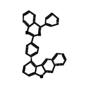 c1ccc(-c2nc(-c3ccc(-c4cccc5oc6cc7ccccc7cc6c45)cc3)nc3ccccc23)cc1